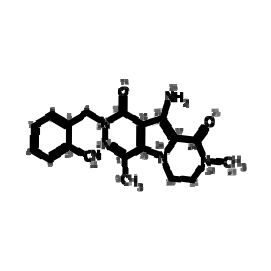 Cc1nn(Cc2ccccc2C#N)c(=O)c2c(N)c3n(c12)CCN(C)C3=O